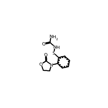 NC(=O)NSc1ccccc1N1CCOC1=O